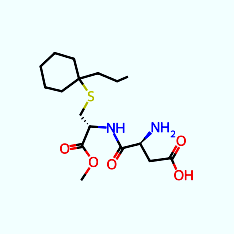 CCCC1(SC[C@H](NC(=O)[C@@H](N)CC(=O)O)C(=O)OC)CCCCC1